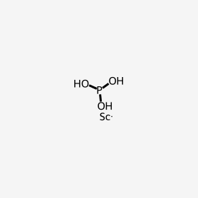 OP(O)O.[Sc]